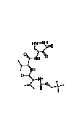 CC(C)C(NC(=O)OCC(C)(C)C)C(=O)NC(C(=O)NC1CNNC(=O)C1=O)C(C)C